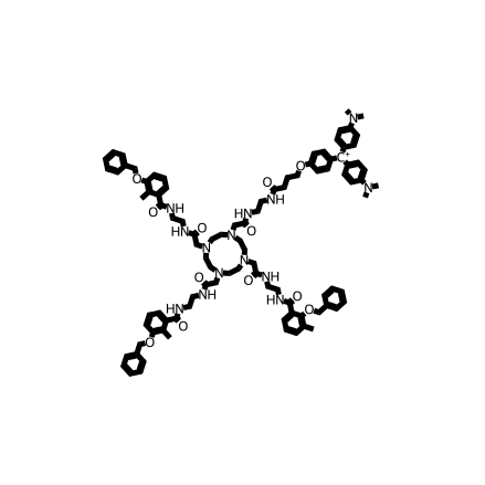 Cc1cccc(C(=O)NCCNC(=O)CN2CCN(CC(=O)NCCNC(=O)CCCOc3ccc([C+](c4ccc(N(C)C)cc4)c4ccc(N(C)C)cc4)cc3)CCN(CC(=O)NCCNC(=O)c3cccc(OCc4ccccc4)c3C)CCN(CC(=O)NCCNC(=O)c3cccc(OCc4ccccc4)c3C)CC2)c1OCc1ccccc1